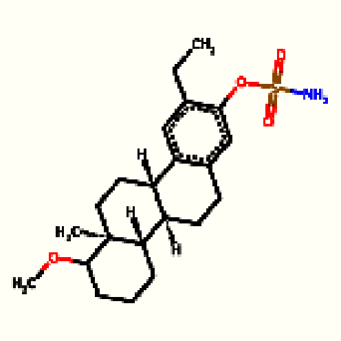 CCc1cc2c(cc1OS(N)(=O)=O)CC[C@@H]1[C@@H]2CC[C@]2(C)C(OC)CCC[C@@H]12